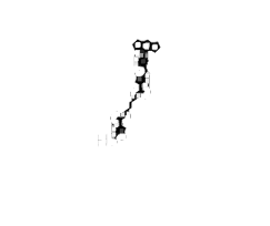 O=C(OCCCCOC(=O)c1csc(Sc2cnn(-c3c4c(cc5c3CCC5)CCC4)c2)n1)c1csc(S)n1